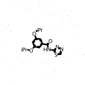 CC(C)Oc1cc(OC(C)C)cc(C(=O)Nc2nncs2)c1